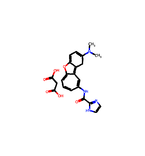 CN(C)C1=CC=c2oc3c(c2C1)C=C(NC(=O)c1ncc[nH]1)C=CC=3.O=C(O)CC(=O)O